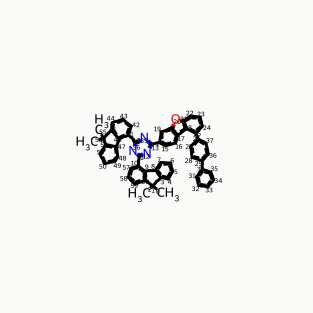 CC1(C)c2ccccc2-c2c(-c3nc(-c4ccc5c(c4)oc4cccc(-c6ccc(-c7ccccc7)cc6)c45)nc(-c4cccc5c4-c4ccccc4C5(C)C)n3)cccc21